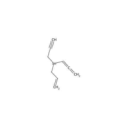 C#C[CH2][Sn]([CH]=C=C)[CH2]C=C